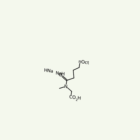 CCCCCCCCCCCC(=O)N(C)CC(=O)O.[NaH].[NaH]